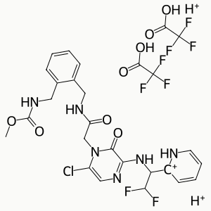 COC(=O)NCc1ccccc1CNC(=O)Cn1c(Cl)cnc(NC([c+]2cccc[nH]2)C(F)F)c1=O.O=C(O)C(F)(F)F.O=C(O)C(F)(F)F.[H+].[H+]